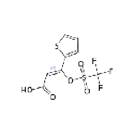 O=C(O)/C=C(\OS(=O)(=O)C(F)(F)F)c1cccs1